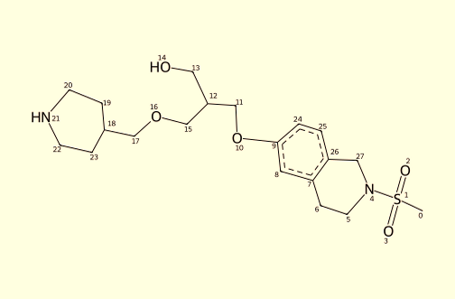 CS(=O)(=O)N1CCc2cc(OCC(CO)COCC3CCNCC3)ccc2C1